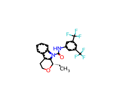 CC[C@@H]1OCCc2c1n(C(=O)Nc1cc(C(F)(F)F)cc(C(F)(F)F)c1)c1ccccc21